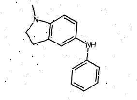 CN1CCc2cc(Nc3ccccc3)ccc21